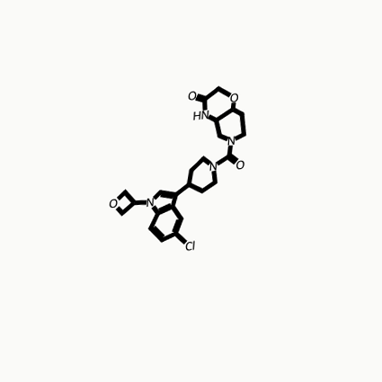 O=C1COC2CCN(C(=O)N3CCC(c4cn(C5COC5)c5ccc(Cl)cc45)CC3)CC2N1